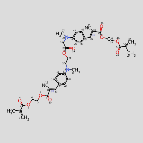 C=C(C)C(=O)OCCOC(=O)/C(C#N)=C/c1ccc(N(C)CCOC(=O)CN(C)c2ccc(/C=C(\C#N)C(=O)OCCOC(=O)C(=C)C)cc2)cc1